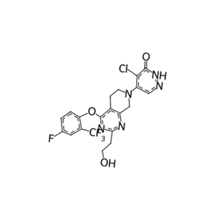 O=c1[nH]ncc(N2CCc3c(nc(CCO)nc3Oc3ccc(F)cc3C(F)(F)F)C2)c1Cl